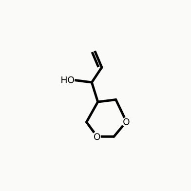 C=CC(O)C1COCOC1